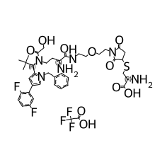 CC(C)(C)[C@H](c1cc(-c2cc(F)ccc2F)cn1Cc1ccccc1)N(CC[C@H](N)C(=O)NCCOCCN1C(=O)CC(SC[C@H](N)C(=O)O)C1=O)C(=O)CO.O=C(O)C(F)(F)F